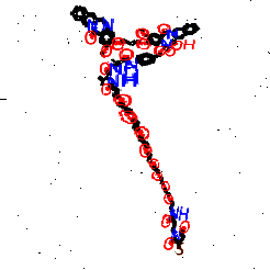 COc1cc2c(cc1OCCCOc1cc3c(cc1OC)C(=O)N1Cc4ccccc4CC1C(O)N3C(=O)OCc1ccc(NC(=O)[C@H](C)NC(=O)[C@@H](NC(=O)CCOCCOCCOCCOCCOCCOCCOCCOCCNC(=O)CCN3C(=O)CC(SC)C3=O)C(C)C)cc1)N=CC1Cc3ccccc3CN1C2=O